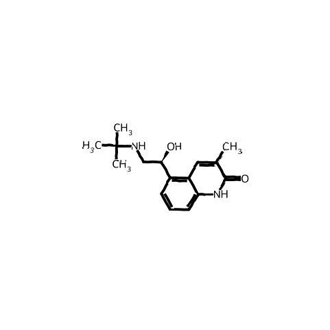 Cc1cc2c([C@H](O)CNC(C)(C)C)cccc2[nH]c1=O